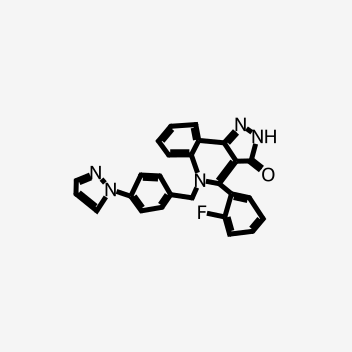 O=c1[nH]nc2c3ccccc3n(Cc3ccc(-n4cccn4)cc3)c(-c3ccccc3F)c1-2